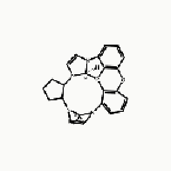 C[C@H]1N2C=CN1C1CCCC1N1C=CN3c4cccc5c4P(c4c(cccc42)O5)[C@H]31